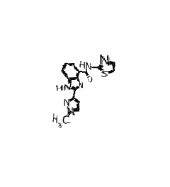 Cn1ccc(-c2nc3c(C(=O)Nc4nccs4)cccc3[nH]2)n1